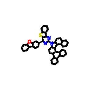 c1ccc2c(c1)ccc1c2c2c3c4ccccc4c4ccccc4c3ccc2n1-c1nc(-c2ccc3c(c2)oc2ccccc23)c2sc3ccccc3c2n1